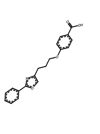 O=C(O)c1ccc(OCCCc2coc(-c3ccccc3)n2)cc1